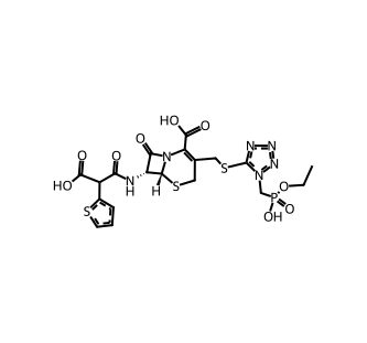 CCOP(=O)(O)Cn1nnnc1SCC1=C(C(=O)O)N2C(=O)[C@@H](NC(=O)C(C(=O)O)c3cccs3)[C@H]2SC1